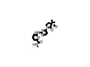 CNC(=O)c1cccc(Nc2nccc(N3CC[C@@](C#N)(C(C)C)C3=O)n2)n1